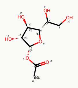 CCCCC(=O)O[C@H]1O[C@@H](C(O)CO)[C@H](O)[C@H]1O